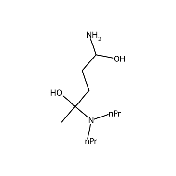 CCCN(CCC)C(C)(O)CCC(N)O